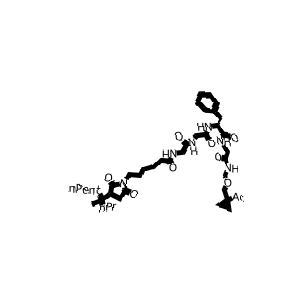 CCCCCC(C)(CCC)C1CC(=O)N(CCCCCC(=O)NCC(=O)NCC(=O)N[C@@H](Cc2ccccc2)C(=O)NCC(=O)NCOCC2(C(C)=O)CC2)C1=O